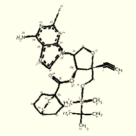 C#C[C@]1(CO[Si](C)(C)C(C)(C)C)OCC(n2cnc3c(N)nc(F)nc32)[C@@H]1OC(=O)C12CCC(CC1)CC2